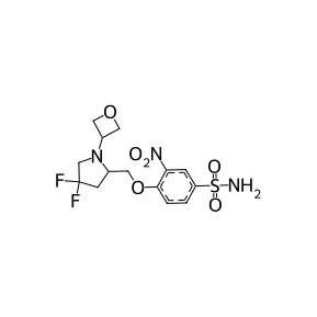 NS(=O)(=O)c1ccc(OCC2CC(F)(F)CN2C2COC2)c([N+](=O)[O-])c1